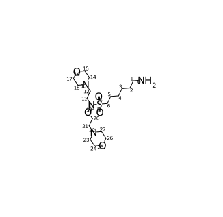 NCCCCCCS(=O)(=O)N(CCN1CCOCC1)OCCN1CCOCC1